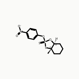 C[C@]12CCCC[C@@H]1OP(=S)(Oc1ccc([N+](=O)[O-])cc1)S2